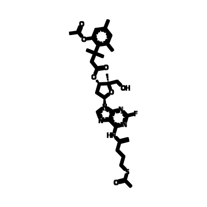 C=C(CCCSC(C)=O)Nc1nc(F)nc2c1ncn2[C@H]1C[C@H](OC(=O)CC(C)(C)c2c(C)cc(C)cc2OC(C)=O)[C@@](C)(CO)O1